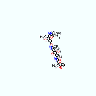 CCOc1cc(CC2=C(C)C(=O)c3ccccc3C2=O)nnc1-c1ccc2c(c1)C(=O)C(Cc1cc(C(F)(F)F)c(OCc3ccc4c(c3)C(=O)C(C)=C(Cc3cc(C)c(OC)nn3)C4=O)nn1)=C(C)C2=O